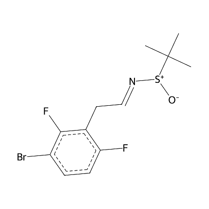 CC(C)(C)[S+]([O-])N=CCc1c(F)ccc(Br)c1F